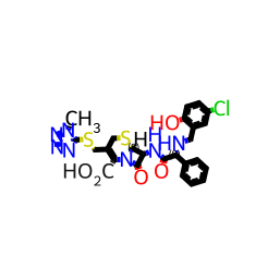 Cn1nnnc1SCC1=C(C(=O)O)N2C(=O)C(NC(=O)[C@@H](NCc3cc(Cl)ccc3O)c3ccccc3)[C@@H]2SC1